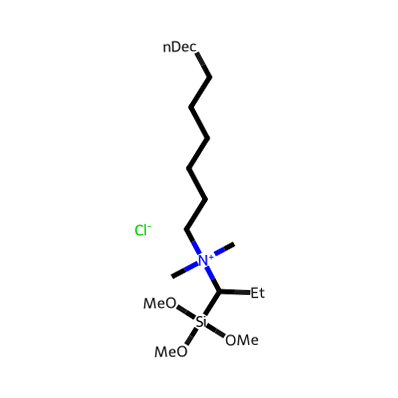 CCCCCCCCCCCCCCCC[N+](C)(C)C(CC)[Si](OC)(OC)OC.[Cl-]